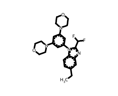 CCc1ccc2c(c1)nc(C(F)F)n2-c1cc(N2CCOCC2)cc(N2CCOCC2)c1